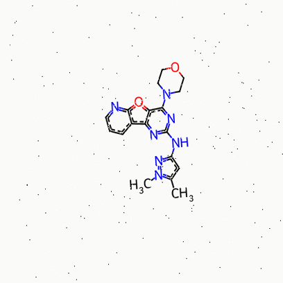 Cc1cc(Nc2nc(N3CCOCC3)c3oc4ncccc4c3n2)nn1C